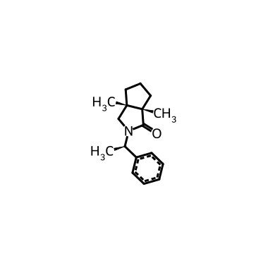 C[C@H](c1ccccc1)N1C[C@]2(C)CCC[C@]2(C)C1=O